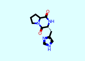 O=C1N[C@H](Cc2c[nH]cn2)C(=O)N2CCCC12